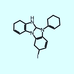 IC1C=CC2=C(C1)N1C3=C(CCC=C3)NC1N2C1=CCCCC1